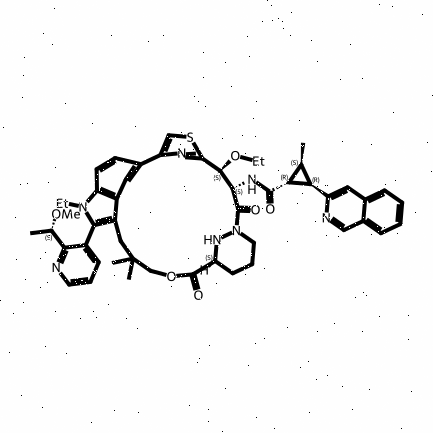 CCO[C@@H]1c2nc(cs2)-c2ccc3c(c2)c(c(-c2cccnc2[C@H](C)OC)n3CC)CC(C)(C)COC(=O)[C@@H]2CCCN(N2)C(=O)[C@H]1NC(=O)[C@@H]1[C@@H](C)[C@H]1c1cc2ccccc2cn1